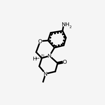 CN1CC(=O)N2c3ccc(N)cc3OC[C@@H]2C1